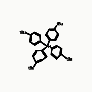 CC(C)(C)c1ccc([PH](c2ccc(C(C)(C)C)cc2)(c2ccc(C(C)(C)C)cc2)c2ccc(C(C)(C)C)cc2)cc1